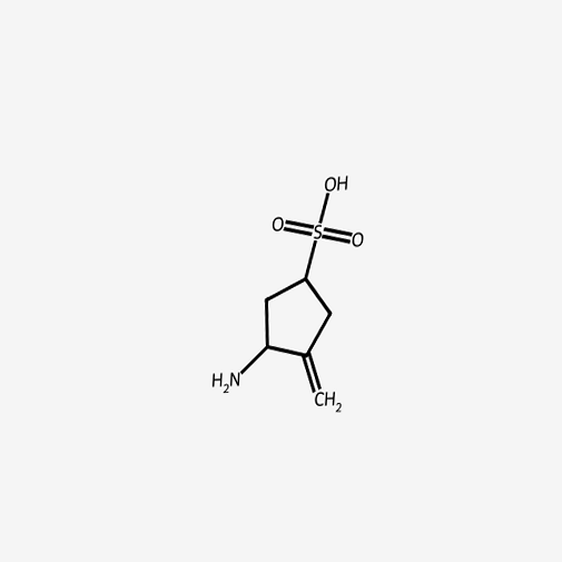 C=C1CC(S(=O)(=O)O)CC1N